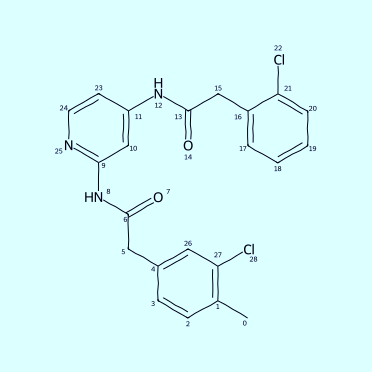 Cc1ccc(CC(=O)Nc2cc(NC(=O)Cc3ccccc3Cl)ccn2)cc1Cl